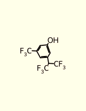 Oc1cc(C(C(F)(F)F)C(F)(F)F)cc(C(F)(F)F)c1